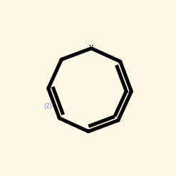 [C]1C=C=C=C/C=C\C1